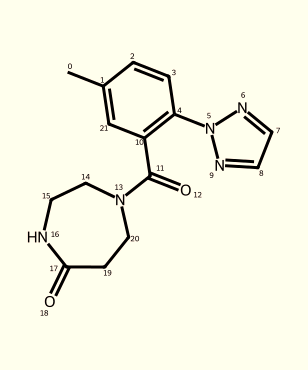 Cc1ccc(-n2nccn2)c(C(=O)N2CCNC(=O)CC2)c1